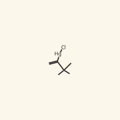 C=[C]([Hg][Cl])C(C)(C)C